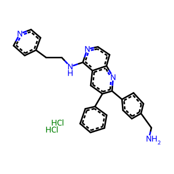 Cl.Cl.NCc1ccc(-c2nc3ccnc(NCCc4ccncc4)c3cc2-c2ccccc2)cc1